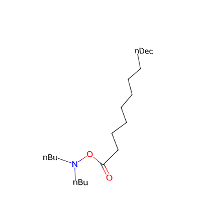 CCCCCCCCCCCCCCCCCC(=O)ON(CCCC)CCCC